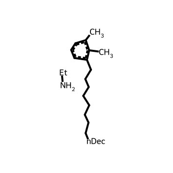 CCCCCCCCCCCCCCCCCCc1cccc(C)c1C.CCN